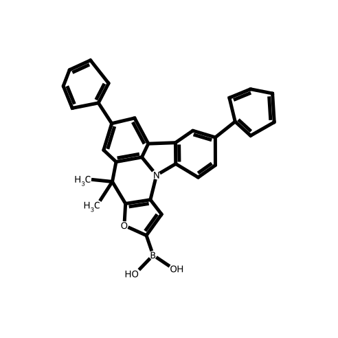 CC1(C)c2oc(B(O)O)cc2-n2c3ccc(-c4ccccc4)cc3c3cc(-c4ccccc4)cc1c32